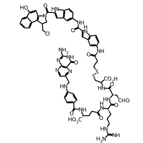 N=C(N)NCCC[C@@H](NC(=O)CC[C@@H](NC(=O)c1ccc(NCc2cnc3nc(N)[nH]c(=O)c3n2)cc1)C(=O)O)C(=O)N[C@H](CC=O)C(=O)NC(CSSCCC(=O)Nc1ccc2[nH]c(C(=O)Nc3ccc4[nH]c(C(=O)N5CC(CCl)c6c5cc(O)c5ccccc65)cc4c3)cc2c1)C(=O)O